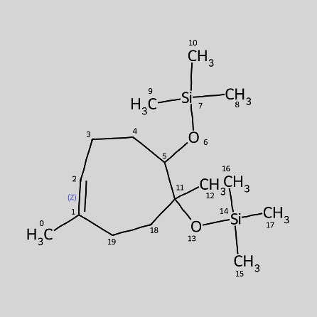 C/C1=C/CCC(O[Si](C)(C)C)C(C)(O[Si](C)(C)C)CC1